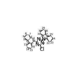 Clc1nc(-c2cc3ccccc3c3ccccc23)nc(-n2c3ccccc3c3ccccc32)n1